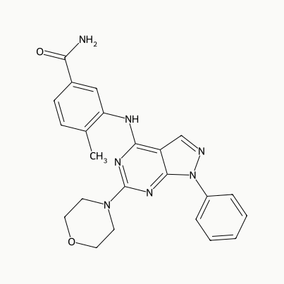 Cc1ccc(C(N)=O)cc1Nc1nc(N2CCOCC2)nc2c1cnn2-c1ccccc1